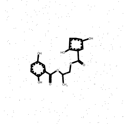 CC(COC(=O)c1cc(O)ccc1O)OC(=O)c1cc(O)ccc1O